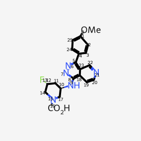 COc1ccc(-c2nnc(N[C@@H]3C[C@@H](F)CN(C(=O)O)C3)c3ccncc23)cc1